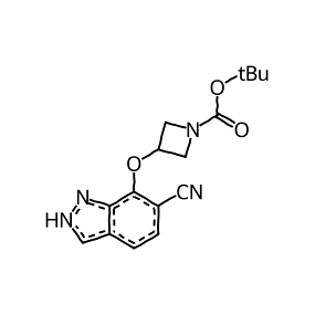 CC(C)(C)OC(=O)N1CC(Oc2c(C#N)ccc3c[nH]nc23)C1